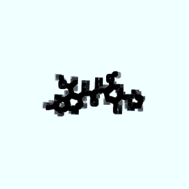 COc1nc(-n2nccn2)c(Cl)cc1NC(=O)Nc1cnc2sc(C)nc2c1C(C)OC